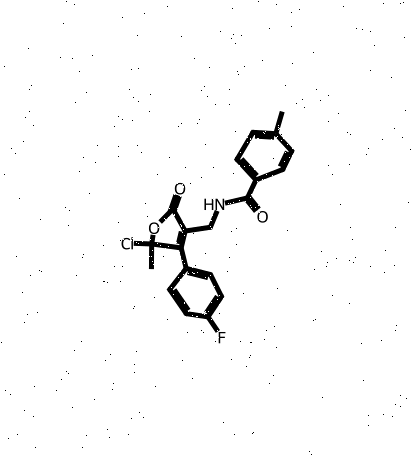 Cc1ccc(C(=O)NCC2=C(c3ccc(F)cc3)C(C)(Cl)OC2=O)cc1